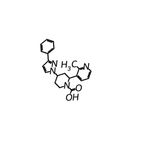 Cc1ncccc1C1CC(n2ccc(-c3ccccc3)n2)CCN1C(=O)O